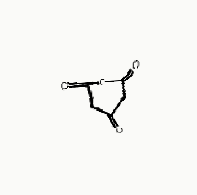 O=C1[CH]C(=O)CC(=O)C1